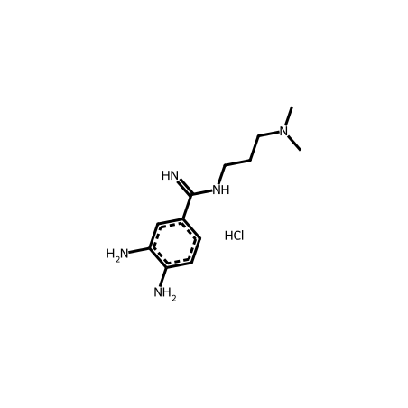 CN(C)CCCNC(=N)c1ccc(N)c(N)c1.Cl